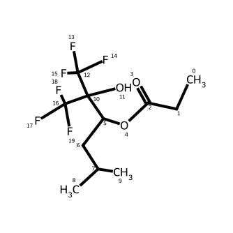 CCC(=O)OC(CC(C)C)C(O)(C(F)(F)F)C(F)(F)F